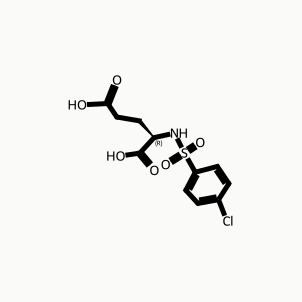 O=C(O)CC[C@@H](NS(=O)(=O)c1ccc(Cl)cc1)C(=O)O